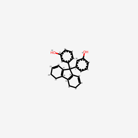 Oc1cccc(C2(c3cccc(O)c3)C3=C(CCC=C3)C3=C2C=CCC3)c1